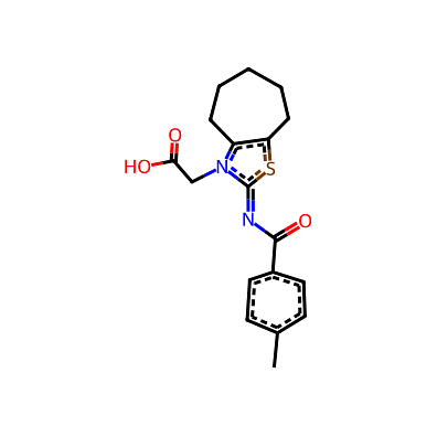 Cc1ccc(C(=O)/N=c2\sc3c(n2CC(=O)O)CCCCC3)cc1